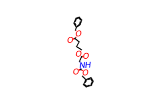 O=C(CCCOC(=O)CNC(=O)OCc1ccccc1)OCc1ccccc1